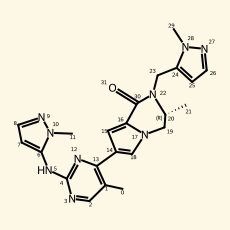 Cc1cnc(Nc2ccnn2C)nc1-c1cc2n(c1)C[C@@H](C)N(Cc1ccnn1C)C2=O